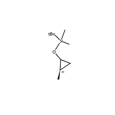 C[C@@H]1CC1O[Si](C)(C)C(C)(C)C